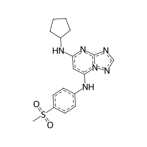 CS(=O)(=O)c1ccc(Nc2cc(NC3CCCC3)nc3ncnn23)cc1